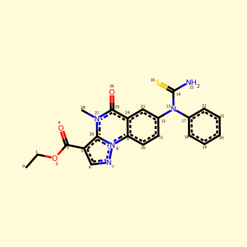 CCOC(=O)c1cnn2c3ccc(N(C(N)=S)c4ccccc4)cc3c(=O)n(C)c12